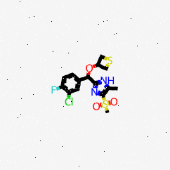 Cc1[nH]c(C(OC2CSC2)c2ccc(F)c(Cl)c2)nc1S(C)(=O)=O